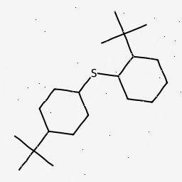 CC(C)(C)C1CCC(SC2CCCCC2C(C)(C)C)CC1